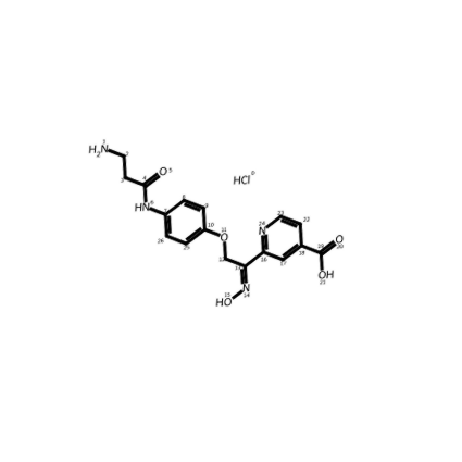 Cl.NCCC(=O)Nc1ccc(OC/C(=N\O)c2cc(C(=O)O)ccn2)cc1